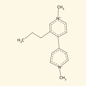 CCCc1c[n+](C)ccc1-c1cc[n+](C)cc1